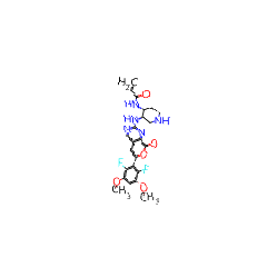 C=CC(=O)N[C@H]1CCNC[C@H]1Nc1ncc2cc(-c3c(F)c(OC)cc(OC)c3F)oc(=O)c2n1